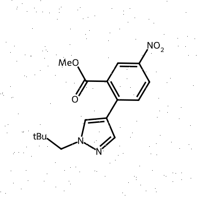 COC(=O)c1cc([N+](=O)[O-])ccc1-c1cnn(CC(C)(C)C)c1